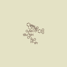 CC(C)CC(=O)NCC(=O)NC(C(=O)NC(Cc1ccccc1)C(O)CN(CC(C)C)S(=O)(=O)c1ccc2c(c1)OCO2)C(C)(C)C